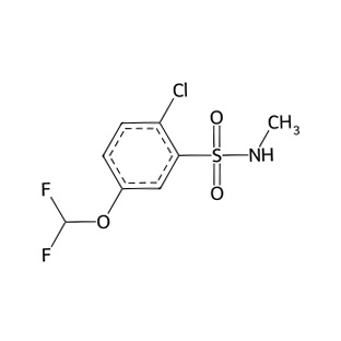 CNS(=O)(=O)c1cc(OC(F)F)ccc1Cl